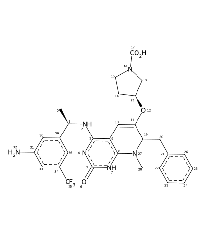 C[C@@H](Nc1nc(=O)[nH]c2c1C=C(O[C@H]1CCN(C(=O)O)C1)C(Cc1ccccc1)N2C)c1cc(N)cc(C(F)(F)F)c1